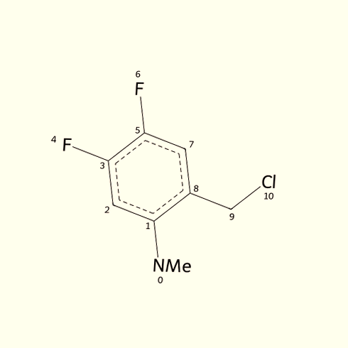 CNc1cc(F)c(F)cc1CCl